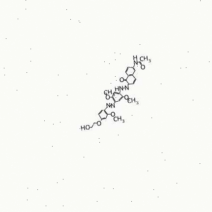 COc1cc(OCCO)ccc1/N=N/c1cc(OC)c(N/N=C2/C=Cc3cc(NC(C)=O)ccc3C2=O)cc1OC